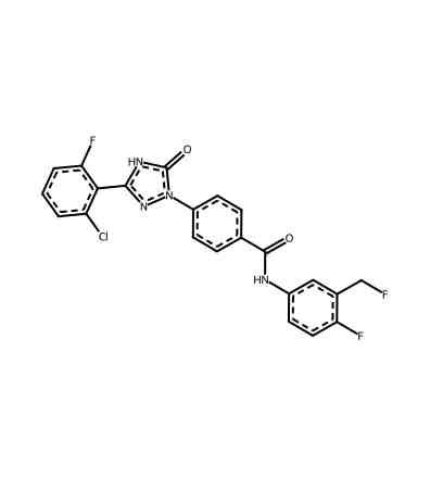 O=C(Nc1ccc(F)c(CF)c1)c1ccc(-n2nc(-c3c(F)cccc3Cl)[nH]c2=O)cc1